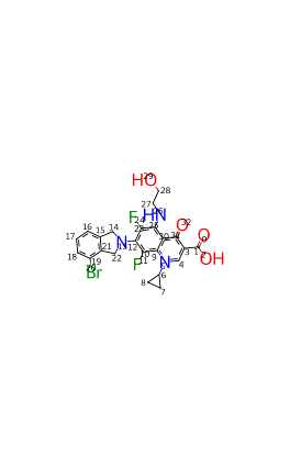 O=C(O)c1cn(C2CC2)c2c(F)c(N3Cc4cccc(Br)c4C3)c(F)c(NCCO)c2c1=O